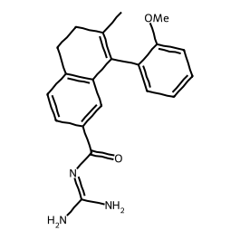 COc1ccccc1C1=C(C)CCc2ccc(C(=O)N=C(N)N)cc21